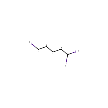 ICCCCC(I)I